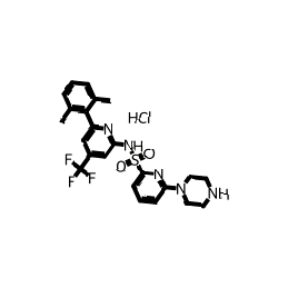 Cc1cccc(C)c1-c1cc(C(F)(F)F)cc(NS(=O)(=O)c2cccc(N3CCNCC3)n2)n1.Cl